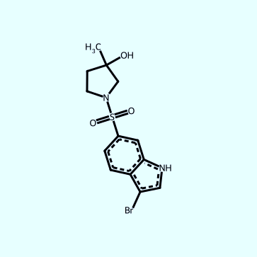 CC1(O)CCN(S(=O)(=O)c2ccc3c(Br)c[nH]c3c2)C1